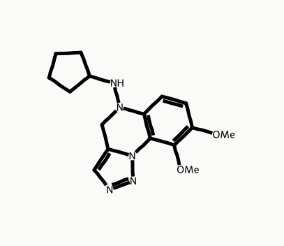 COc1ccc2c(c1OC)-n1nncc1CN2NC1CCCC1